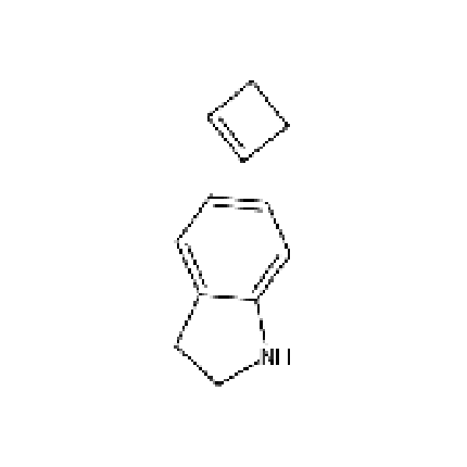 C1=CCC1.c1ccc2c(c1)CCN2